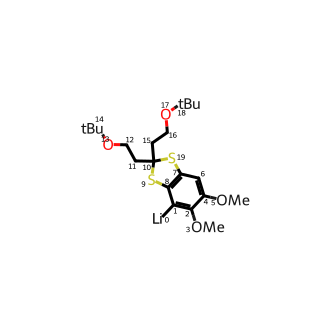 [Li][c]1c(OC)c(OC)cc2c1SC(CCOC(C)(C)C)(CCOC(C)(C)C)S2